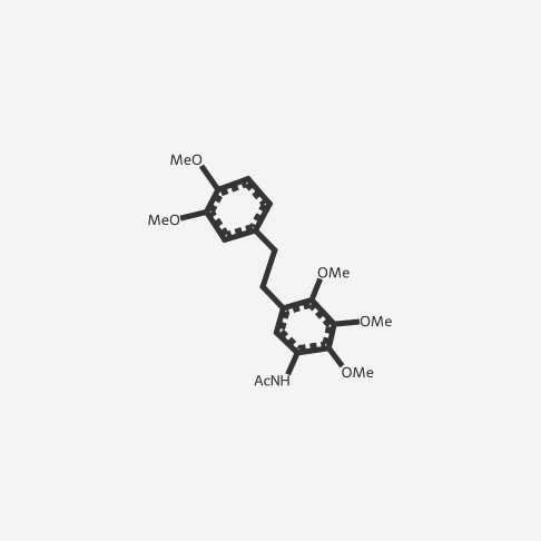 COc1ccc(CCc2cc(NC(C)=O)c(OC)c(OC)c2OC)cc1OC